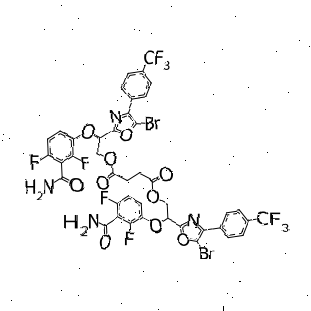 NC(=O)c1c(F)ccc(OC(COC(=O)CCC(=O)OCC(Oc2ccc(F)c(C(N)=O)c2F)c2nc(-c3ccc(C(F)(F)F)cc3)c(Br)o2)c2nc(-c3ccc(C(F)(F)F)cc3)c(Br)o2)c1F